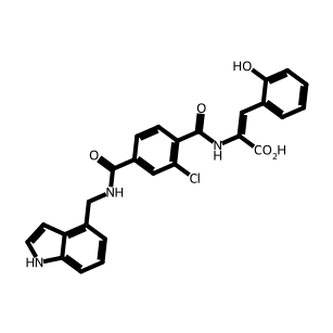 O=C(O)C(=Cc1ccccc1O)NC(=O)c1ccc(C(=O)NCc2cccc3[nH]ccc23)cc1Cl